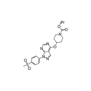 CC(C)OC(=O)N1CCC(Oc2ncnc3c2cnn3-c2ccc(S(C)(=O)=O)cc2)CC1